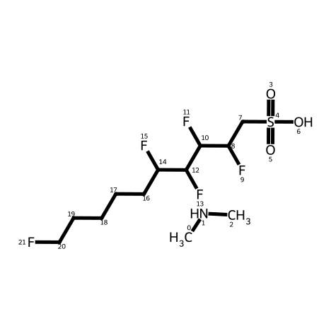 CNC.O=S(=O)(O)CC(F)C(F)C(F)C(F)CCCCCF